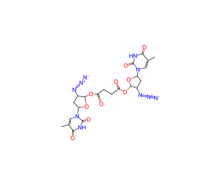 Cc1cn(C2CC(N=[N+]=[N-])C(OC(=O)CCC(=O)OC3OC(n4cc(C)c(=O)[nH]c4=O)CC3N=[N+]=[N-])O2)c(=O)[nH]c1=O